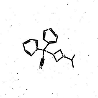 CC(C)N1CC(C(C#N)(c2ccccc2)c2ccccc2)C1